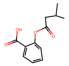 CC(C)CC(=O)Oc1ccccc1C(=O)O